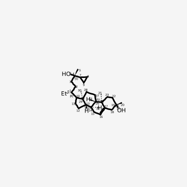 CC[C@H](CC[C@](C)(O)C1CC1)C1CC[C@H]2[C@@H]3CC=C4C[C@@](C)(O)CC[C@]4(C)[C@H]3CC[C@]12C